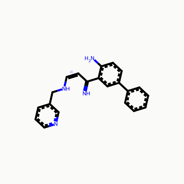 N=C(/C=C\NCc1cccnc1)c1cc(-c2ccccc2)ccc1N